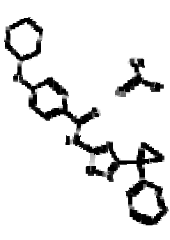 O=C(Nc1nc(C2(c3ccccc3)CC2)no1)c1ccc(OC2CCCCC2)cc1.O=C(O)O